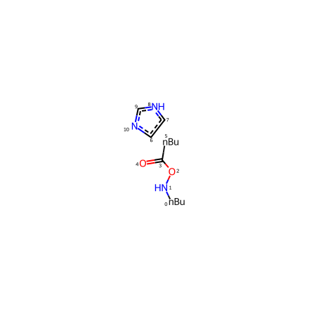 CCCCNOC(=O)CCCC.c1c[nH]cn1